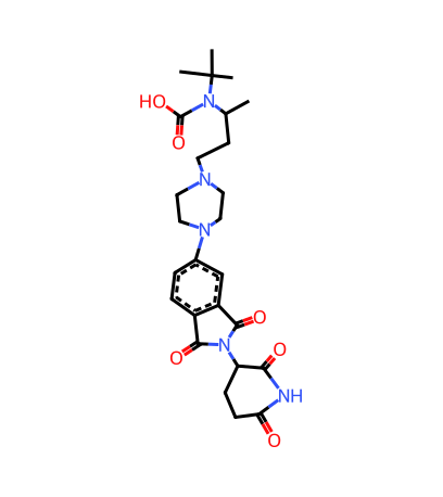 CC(CCN1CCN(c2ccc3c(c2)C(=O)N(C2CCC(=O)NC2=O)C3=O)CC1)N(C(=O)O)C(C)(C)C